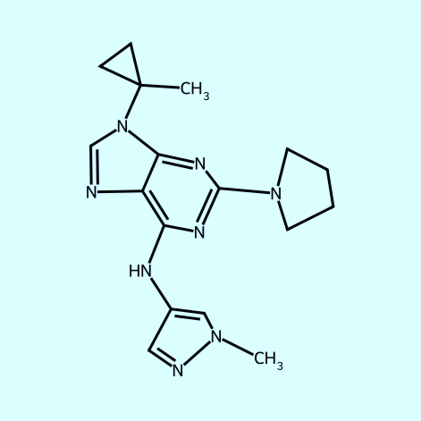 Cn1cc(Nc2nc(N3CCCC3)nc3c2ncn3C2(C)CC2)cn1